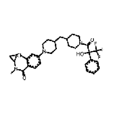 CN(C(=O)c1ccc(N2CCC(CC3CCN(C(=O)C(O)(c4ccccc4)C(F)(F)F)CC3)CC2)cc1Cl)C1CC1